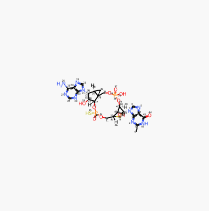 Cc1nc2c(ncn2[C@@H]2S[C@@H]3CO[P@@](=O)(S)O[C@H]4[C@@H](O)[C@H](n5cnc6c(N)ncnc65)[C@H]5C[C@]54COP(=O)(O)O[C@@H]2[C@@H]3O)c(=O)[nH]1